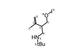 C=C(C)C(CNC(C)(C)C)COI